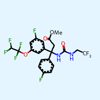 COC(=O)CC(NC(=O)NCC(F)(F)F)(c1ccc(F)cc1)c1cc(F)cc(OC(F)(F)C(F)F)c1